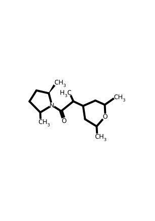 CC1CC(C(C)C(=O)N2C(C)CC[C@H]2C)CC(C)O1